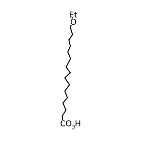 CCOCCCCCCCCCCCCCCCC(=O)O